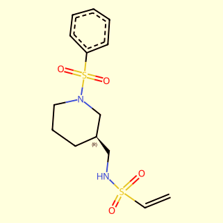 C=CS(=O)(=O)NC[C@H]1CCCN(S(=O)(=O)c2ccccc2)C1